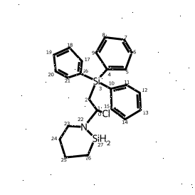 ClC(C[Si](c1ccccc1)(c1ccccc1)c1ccccc1)N1CCCC[SiH2]1